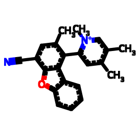 Cc1cc(-c2c(C)cc(C#N)c3oc4ccccc4c23)[n+](C)cc1C